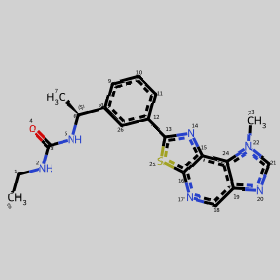 CCNC(=O)N[C@@H](C)c1cccc(-c2nc3c(ncc4ncn(C)c43)s2)c1